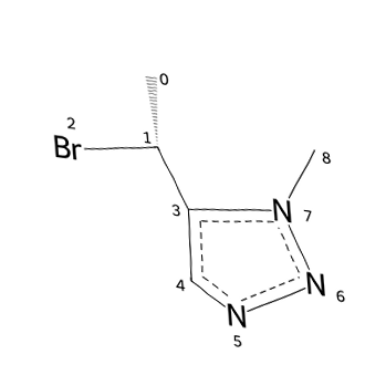 C[C@@H](Br)c1cnnn1C